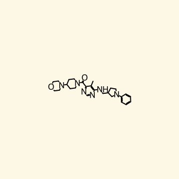 Cc1c(NCC2CCN(c3ccccc3)C2)ncnc1C(=O)N1CCC(N2CCOCC2)CC1